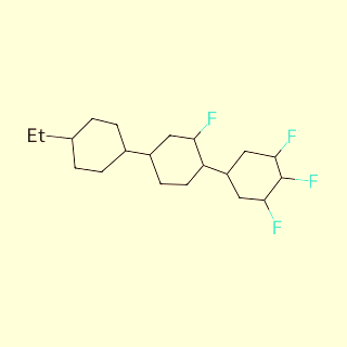 CCC1CCC(C2CCC(C3CC(F)C(F)C(F)C3)C(F)C2)CC1